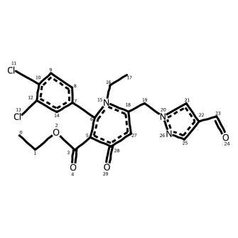 CCOC(=O)c1c(-c2ccc(Cl)c(Cl)c2)n(CC)c(Cn2cc(C=O)cn2)cc1=O